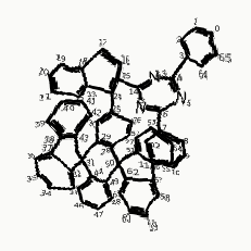 c1ccc(-c2nc(-c3ccccc3)nc(-c3ccc4ccccc4c3-c3ccc4c(c3)C3(c5ccccc5-c5ccccc53)c3ccccc3C43c4ccccc4-c4ccccc43)n2)cc1